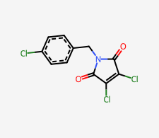 O=C1C(Cl)=C(Cl)C(=O)N1Cc1ccc(Cl)cc1